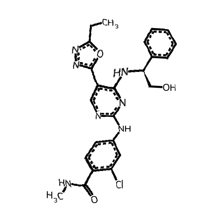 CCc1nnc(-c2cnc(Nc3ccc(C(=O)NC)c(Cl)c3)nc2N[C@H](CO)c2ccccc2)o1